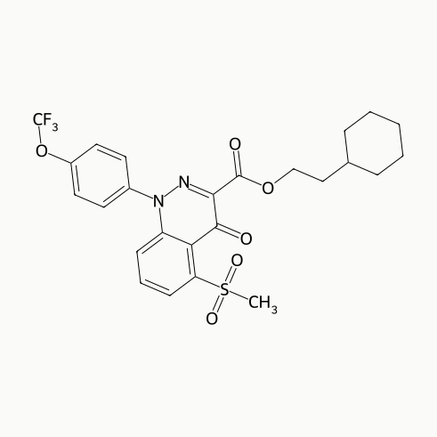 CS(=O)(=O)c1cccc2c1c(=O)c(C(=O)OCCC1CCCCC1)nn2-c1ccc(OC(F)(F)F)cc1